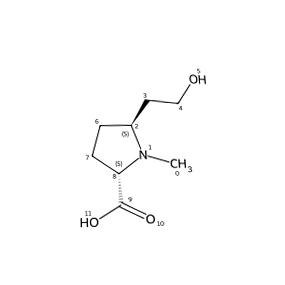 CN1[C@H](CCO)CC[C@H]1C(=O)O